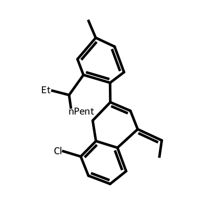 C/C=C1/C=C(c2ccc(C)cc2C(CC)CCCCC)Cc2c(Cl)cccc21